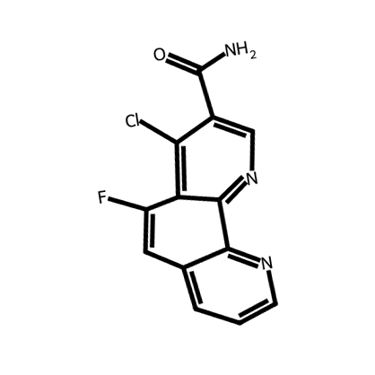 NC(=O)c1cnc2c(c(F)cc3cccnc32)c1Cl